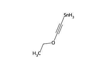 CCOC#[C][SnH3]